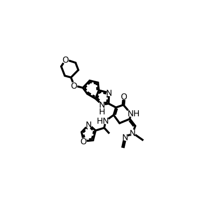 C=NN(C)/C=C1\CC(NC(C)c2cocn2)=C(c2nc3ccc(OC4CCOCC4)cc3[nH]2)C(=O)N1